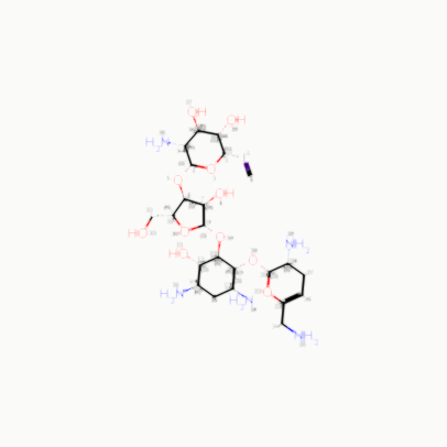 C=I[C@@H]1O[C@H](O[C@H]2[C@@H](O)[C@H](O[C@@H]3[C@@H](O)[C@H](N)C[C@H](N)[C@H]3O[C@H]3OC(CN)=CC[C@H]3N)O[C@@H]2CO)[C@H](N)[C@@H](O)[C@@H]1O